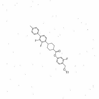 CCOCc1ccc(OC(=O)C2CCC(c3ccc(-c4ccc(C)cc4)c(F)c3F)CC2)cc1F